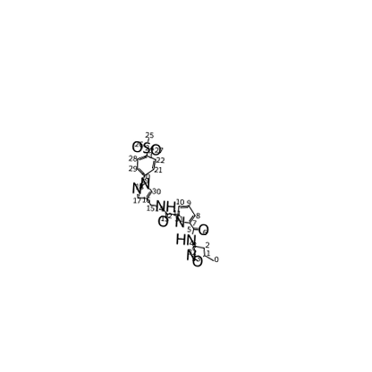 CC1CC(NC(=O)c2cccc(C(=O)NCc3cnn(-c4ccc(S(C)(=O)=O)cc4)c3)n2)=NO1